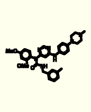 COc1ccc(N(C(=O)NCc2cccc(C)c2)c2cc(Nc3ccc(N4CCN(C)CC4)cc3)ncn2)c(OC)c1